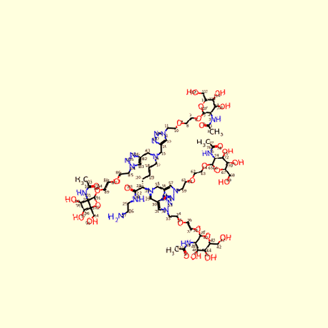 CC(=O)NC1C(OCCOCCn2cc(CN(CCCC[C@@H](C(=O)NCCN)N(Cc3cn(CCOCCOC4OC(CO)C(O)C(O)C4NC(C)=O)nn3)Cc3cn(CCOCCOC4OC(CO)C(O)C(O)C4NC(C)=O)nn3)Cc3cn(CCOCCOC4OC5(CO)C(O)C(O)C45NC(C)=O)nn3)nn2)OC(CO)C(O)C1O